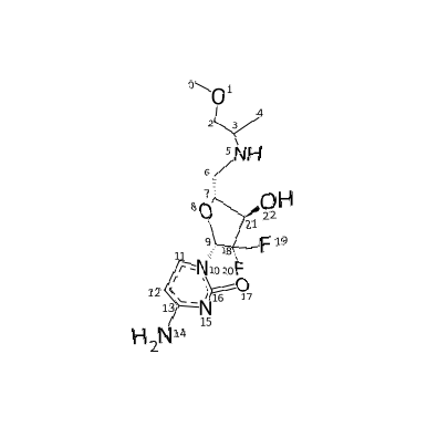 COCC(C)NC[C@H]1O[C@@H](n2ccc(N)nc2=O)C(F)(F)[C@@H]1O